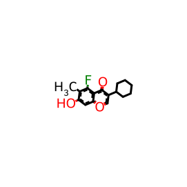 Cc1c(O)cc2occ(C3CCCCC3)c(=O)c2c1F